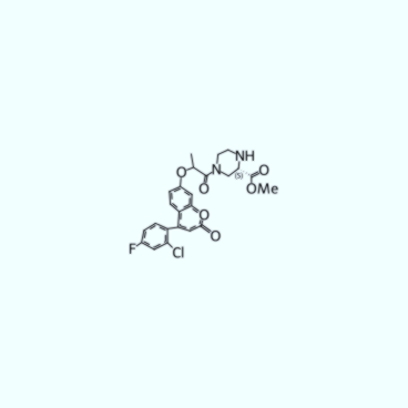 COC(=O)[C@@H]1CN(C(=O)C(C)Oc2ccc3c(-c4ccc(F)cc4Cl)cc(=O)oc3c2)CCN1